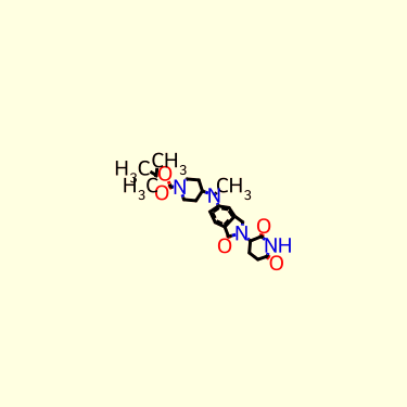 CN(c1ccc2c(c1)CN(C1CCC(=O)NC1=O)C2=O)C1CCN(C(=O)OC(C)(C)C)CC1